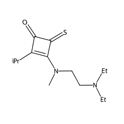 CCN(CC)CCN(C)c1c(C(C)C)c(=O)c1=S